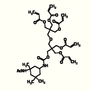 C=CC(=O)OCC(COCC(COC(=O)C=C)(COC(=O)C=C)COC(=O)NC1CC(C)(C)CC(C)(NC(C)=O)C1)(COC(=O)C=C)COC(=O)C=C